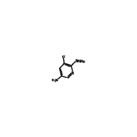 CC(=O)Nc1ncc(N)cc1Cl